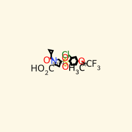 C[C@H](Oc1ccc(S(=O)(=O)[C@@H]2C[C@@H](C(=O)O)N(C(=O)C3CC3)C2)c(Cl)c1)C(F)(F)F